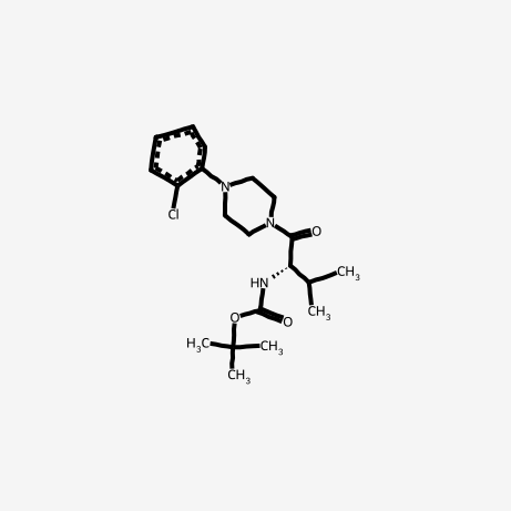 CC(C)[C@H](NC(=O)OC(C)(C)C)C(=O)N1CCN(c2ccccc2Cl)CC1